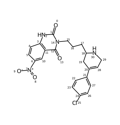 O=c1[nH]c2ccc([N+](=O)[O-])cc2c(=O)n1CCCC1CC(c2ccc(Cl)cc2)=CCN1